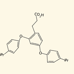 CC(C)c1ccc(Oc2ccc(CCC(=O)O)c(Oc3ccc(C(C)C)cc3)c2)cc1